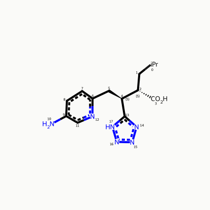 CC(C)C[C@H](C(=O)O)[C@H](Cc1ccc(N)cn1)c1nnn[nH]1